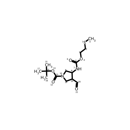 CSCCOC(=O)NC1CN(C(=O)OC(C)(C)C)CC1C=O